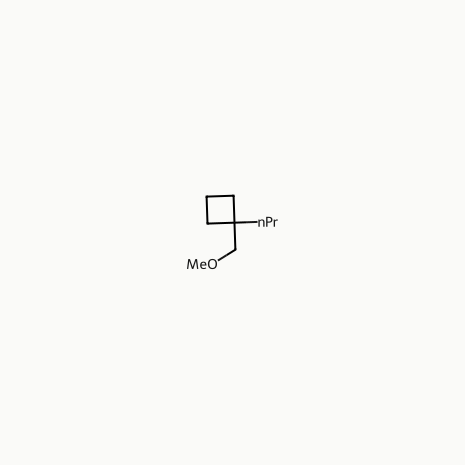 CCCC1(COC)CCC1